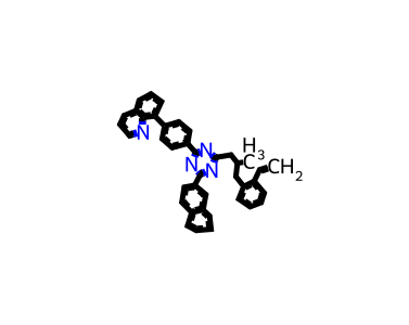 C=Cc1ccccc1CC(C)Cc1nc(-c2ccc(-c3cccc4cccnc34)cc2)nc(-c2ccc3ccccc3c2)n1